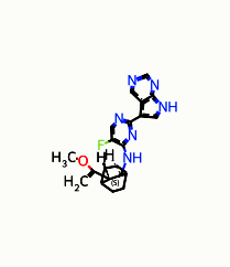 C=C(OC)[C@H]1C2CCC(CC2)[C@@H]1Nc1nc(-c2c[nH]c3ncncc23)ncc1F